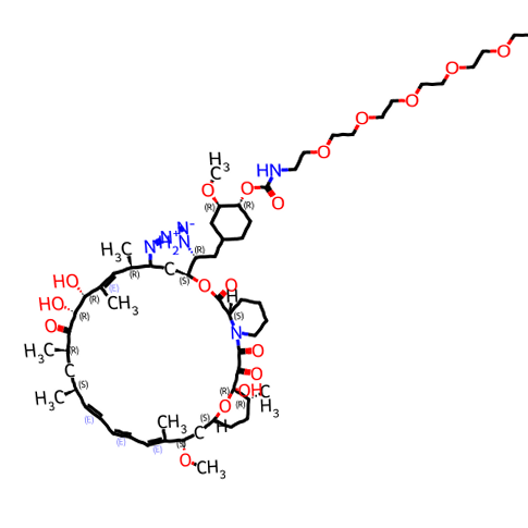 CCOCCOCCOCCOCCOCCNC(=O)O[C@@H]1CCC(C[C@@H](N)[C@@H]2CC(N=[N+]=[N-])[C@H](C)/C=C(\C)[C@@H](O)[C@@H](O)C(=O)[C@H](C)C[C@H](C)/C=C/C=C/C=C(\C)[C@@H](OC)C[C@@H]3CC[C@@H](C)[C@@](O)(O3)C(=O)C(=O)N3CCCC[C@H]3C(=O)O2)C[C@H]1OC